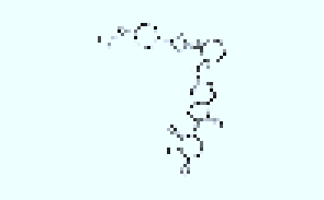 CO[C@H]1CC[C@@H](C2CN([C@H]3CCCC[C@@H]3Oc3ccc4c(c3)CN(C3CCC(=O)NC3=O)C4=O)C2)CC1